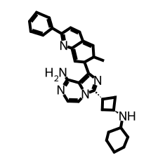 CC1C=c2ccc(-c3ccccc3)nc2=CC1c1nc([C@H]2C[C@@H](NC3CCCCC3)C2)n2ccnc(N)c12